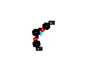 N#Cc1ccc(OCc2cccc(COc3ccc(C#N)cc3)c2F)cc1